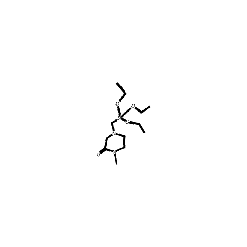 CCO[Si](CN1CCN(C)C(=O)C1)(OCC)OCC